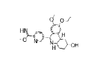 CCOc1cc2c(cc1OC)C(c1ccc(C(=N)OC)nc1)=N[C@@H]1CC[C@@H](O)C[C@H]21